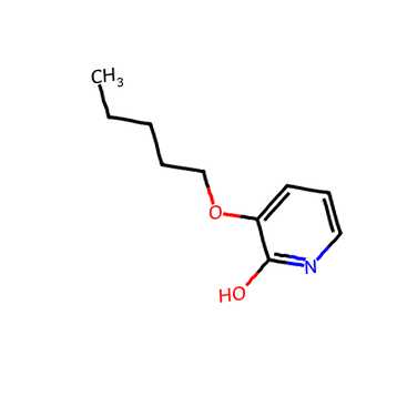 CCCCCOc1cccnc1O